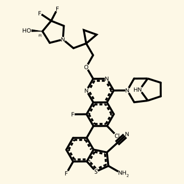 N#Cc1c(N)sc2c(F)ccc(-c3c(Cl)cc4c(N5CC6CCC(C5)N6)nc(OCC5(CN6C[C@@H](O)C(F)(F)C6)CC5)nc4c3F)c12